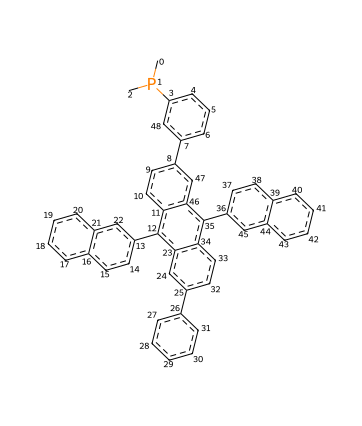 CP(C)c1cccc(-c2ccc3c(-c4ccc5ccccc5c4)c4cc(-c5ccccc5)ccc4c(-c4ccc5ccccc5c4)c3c2)c1